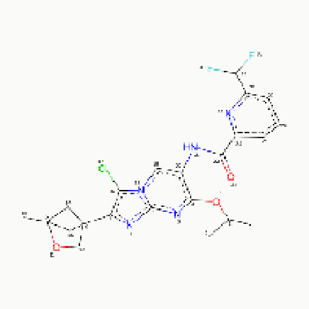 CC(C)Oc1nc2nc(C34COC(C)(C3)C4)c(Cl)n2cc1NC(=O)c1cccc(C(F)F)n1